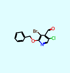 O=Cc1c(Cl)cnc(OCc2ccccc2)c1Br